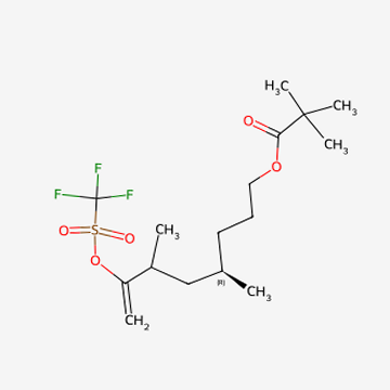 C=C(OS(=O)(=O)C(F)(F)F)C(C)C[C@H](C)CCCOC(=O)C(C)(C)C